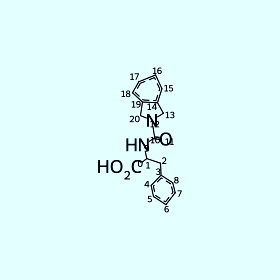 O=C(O)C(Cc1ccccc1)NC(=O)N1Cc2ccccc2C1